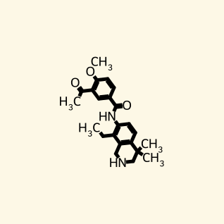 CCc1c(NC(=O)c2ccc(OC)c(C(C)=O)c2)ccc2c1CNCC2(C)C